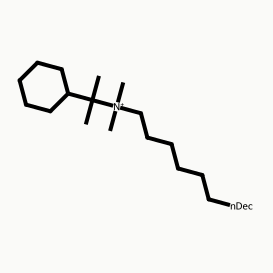 CCCCCCCCCCCCCCCC[N+](C)(C)C(C)(C)C1CCCCC1